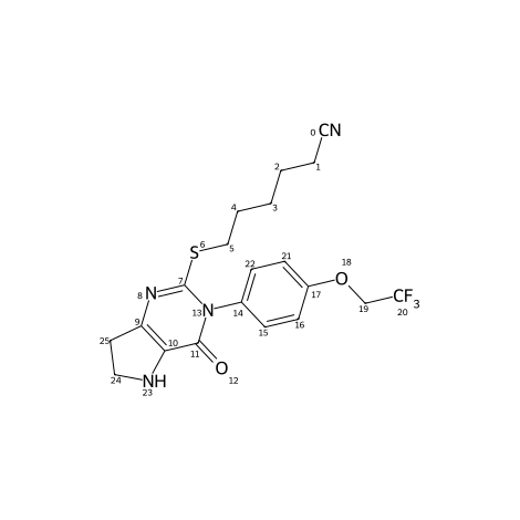 N#CCCCCCSc1nc2c(c(=O)n1-c1ccc(OCC(F)(F)F)cc1)NCC2